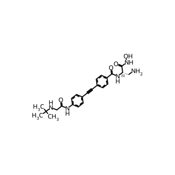 CC(C)(C)NCC(=O)Nc1ccc(C#Cc2ccc(C(=O)N[C@@H](CN)C(=O)NO)cc2)cc1